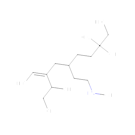 C/C=C(/CC(CCNC)CCC(C)(C)CC)C(C)CC